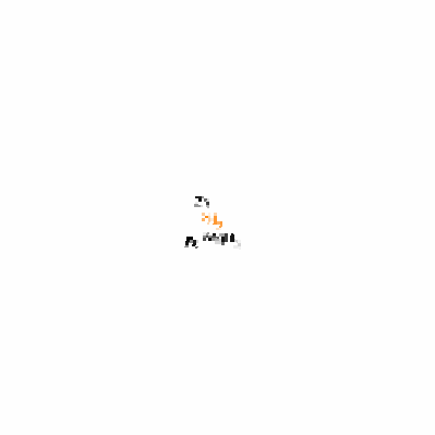 P.[Fe].[MgH2].[Zn]